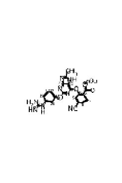 CCCCOC(=O)c1ccc(C#N)cc1Oc1nc(Oc2cccc(NC(=N)N)c2)nc2nc(C)[nH]c12